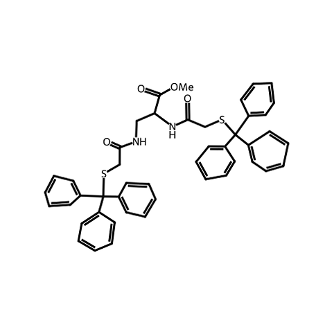 COC(=O)C(CNC(=O)CSC(c1ccccc1)(c1ccccc1)c1ccccc1)NC(=O)CSC(c1ccccc1)(c1ccccc1)c1ccccc1